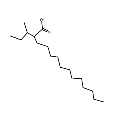 CCCCCCCCCCCCC(C(=O)O)C(C)CC